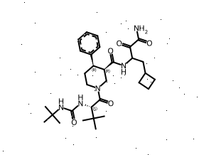 CC(C)(C)NC(=O)N[C@H](C(=O)N1CC[C@@H](c2ccccc2)[C@@H](C(=O)NC(CC2CCC2)C(=O)C(N)=O)C1)C(C)(C)C